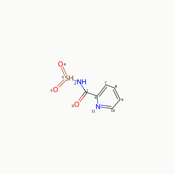 O=C(N[SH](=O)=O)c1ccccn1